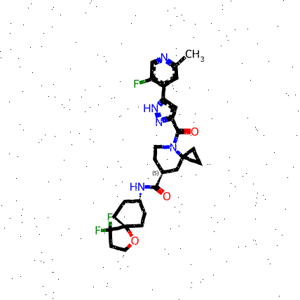 Cc1cc(-c2cc(C(=O)N3CC[C@H](C(=O)N[C@H]4CC[C@@]5(CC4)OCCC5(F)F)CC34CC4)n[nH]2)c(F)cn1